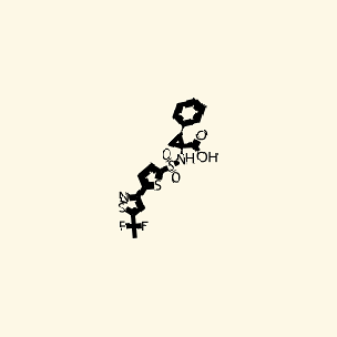 CC(F)(F)c1cc(-c2ccc(S(=O)(=O)N[C@@]3(C(=O)O)C[C@@H]3c3ccccc3)s2)ns1